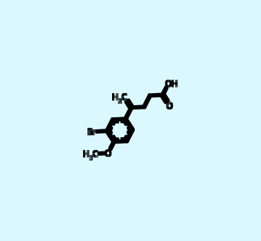 C=C(CCC(=O)O)c1ccc(OC)c(Br)c1